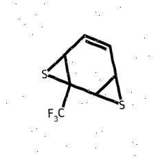 FC(F)(F)C12SC1C=CC1SC12